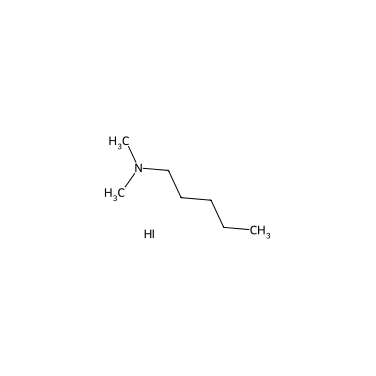 CCCCCN(C)C.I